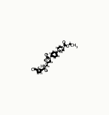 CCOC(=O)N1C=NN(c2ccc(N3C[C@H](CNC(=O)c4ccc(Cl)s4)OC3=O)cc2)CC1